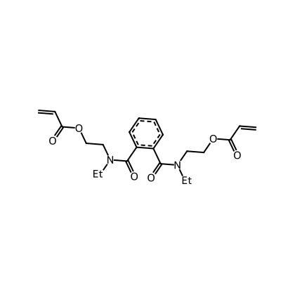 C=CC(=O)OCCN(CC)C(=O)c1ccccc1C(=O)N(CC)CCOC(=O)C=C